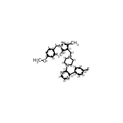 COc1ccc(Cn2nc(C)c(CN3CCN(c4nccnc4-c4ccc(F)cc4)CC3)c2C)cc1